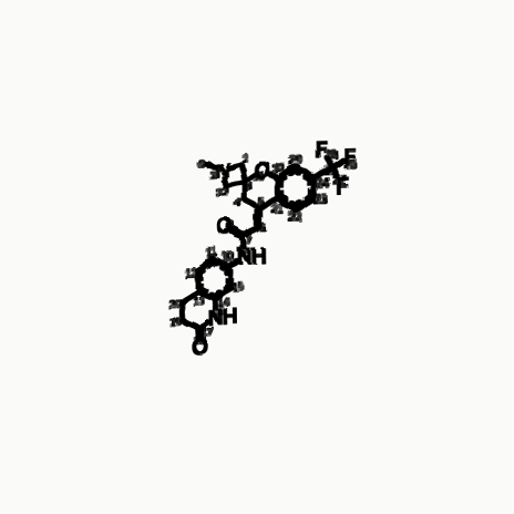 CN1CC2(C/C(=C\C(=O)Nc3ccc4c(c3)NC(=O)CC4)c3ccc(C(F)(F)F)cc3O2)C1